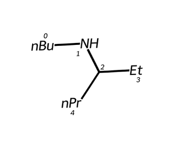 [CH2]CCCNC(CC)CCC